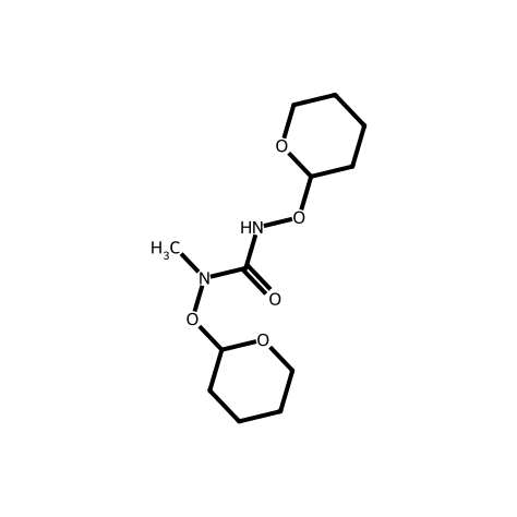 CN(OC1CCCCO1)C(=O)NOC1CCCCO1